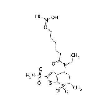 CCN(C(=O)CCCCCON(O)O)C1CC(C)S(=O)(=O)c2sc(S(N)(=O)=O)cc21